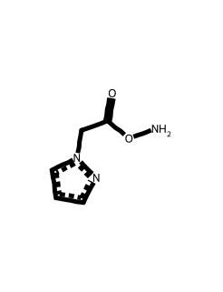 NOC(=O)Cn1cccn1